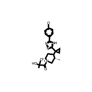 C[C@@H]1CN(C(=O)C(C)(O)C(F)(F)F)CCC1C1(c2nnc(-c3ccc(Cl)cc3)[nH]2)CC1